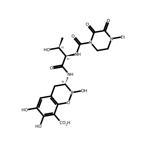 CCN1CCN(C(=O)N[C@@H](C(=O)N[C@H]2Cc3cc(O)c(O)c(C(=O)O)c3OB2O)[C@H](C)O)C(=O)C1=O